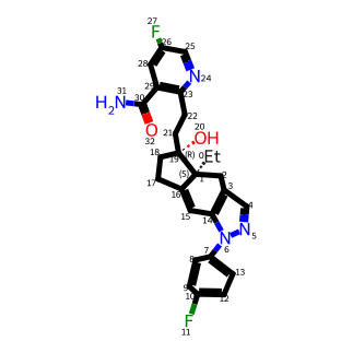 CC[C@]12Cc3cnn(-c4ccc(F)cc4)c3C=C1CC[C@@]2(O)CCc1ncc(F)cc1C(N)=O